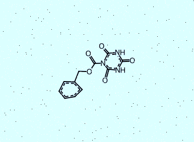 O=C(OCc1ccccc1)n1c(=O)[nH]c(=O)[nH]c1=O